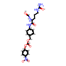 NC(=O)NCCCC(NC=O)C(=O)Nc1ccc(COC(=O)Oc2ccc([N+](=O)[O-])cc2)cc1